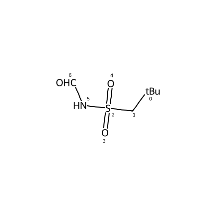 CC(C)(C)CS(=O)(=O)NC=O